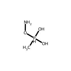 C[PH](O)(O)ON